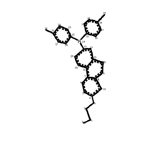 CCCCc1ccc2c(ccc3cc(N(c4ccc(C)cc4)c4ccc(C)cc4)ccc32)c1